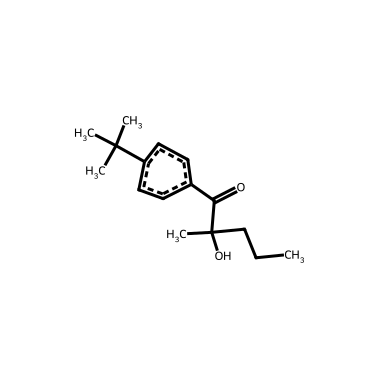 CCCC(C)(O)C(=O)c1ccc(C(C)(C)C)cc1